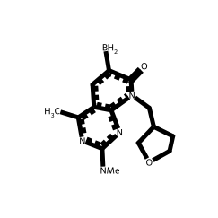 Bc1cc2c(C)nc(NC)nc2n(CC2CCOC2)c1=O